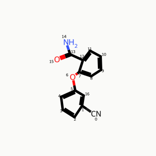 N#Cc1cccc(Oc2ccccc2C(N)=O)c1